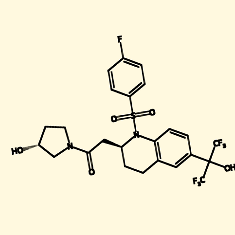 O=C(C[C@@H]1CCc2cc(C(O)(C(F)(F)F)C(F)(F)F)ccc2N1S(=O)(=O)c1ccc(F)cc1)N1CC[C@@H](O)C1